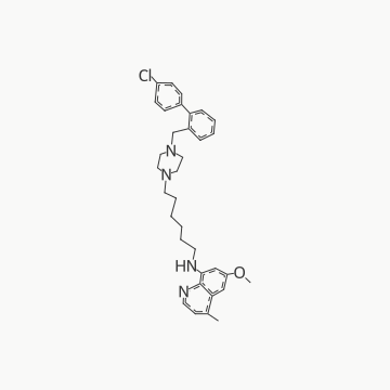 COc1cc(NCCCCCCN2CCN(Cc3ccccc3-c3ccc(Cl)cc3)CC2)c2nccc(C)c2c1